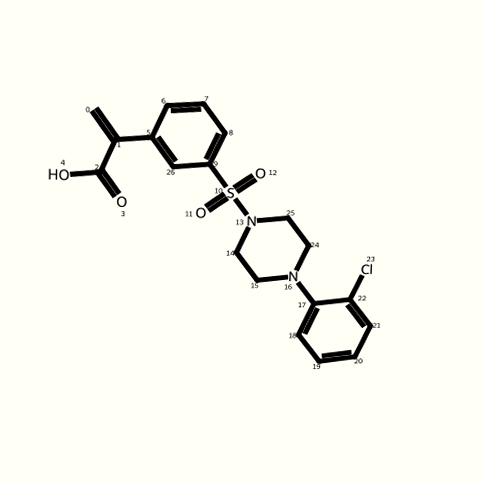 C=C(C(=O)O)c1cccc(S(=O)(=O)N2CCN(c3ccccc3Cl)CC2)c1